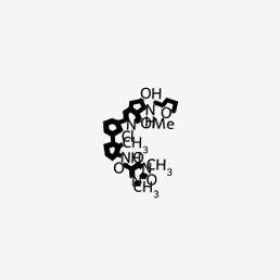 COc1nc(-c2cccc(-c3cccc(NC(=O)c4cn(C)c(=O)n(C)c4=O)c3C)c2Cl)cc2c1C(NCC1CCCO1)C(O)C2